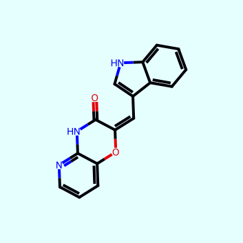 O=C1Nc2ncccc2O/C1=C/c1c[nH]c2ccccc12